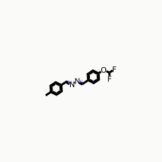 Cc1ccc(/C=N/N=C/c2ccc(OC(F)F)cc2)cc1